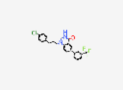 O=C1NCN(CCCc2ccc(Cl)cc2)c2ccc(-c3cccc(C(F)(F)F)c3)cc21